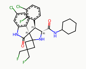 O=C(NC1CCCCC1)[C@@H]1NC2(CC(CF)(CF)C2)[C@@]2(C(=O)Nc3cc(Cl)ccc32)[C@H]1c1cccc(Cl)c1F